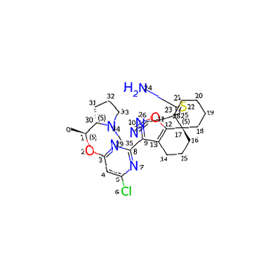 C[C@H](Oc1cc(Cl)nc(-c2noc3c2CCC[C@@]32CCCc3sc(N)c(C#N)c32)n1)[C@@H]1CCCN1C